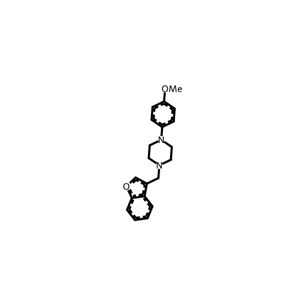 COc1ccc(N2CCN(Cc3coc4ccccc34)CC2)cc1